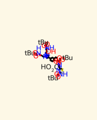 CC(C)(C)OC(=O)NCCC[n+]1cc(-c2ccc3c(c2)CC[C@H]([C@](C)(O/N=C(\C(=O)O)c2csc(NC(=O)OC(C)(C)C)n2)C(=O)OC(C)(C)C)O3)cn1C[C@@H](O)CNC(=O)OC(C)(C)C